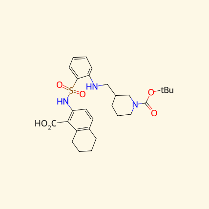 CC(C)(C)OC(=O)N1CCCC(CNc2ccccc2S(=O)(=O)Nc2ccc3c(c2C(=O)O)CCCC3)C1